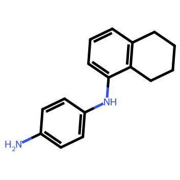 Nc1ccc(Nc2cccc3c2CCCC3)cc1